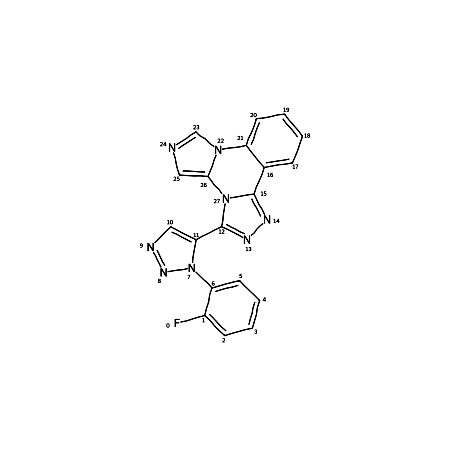 Fc1ccccc1-n1nncc1-c1nnc2c3ccccc3n3cncc3n12